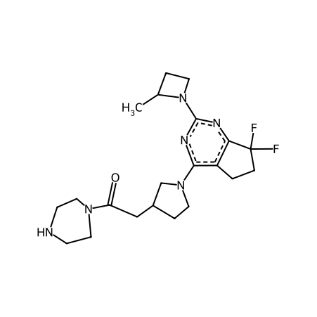 CC1CCN1c1nc(N2CCC(CC(=O)N3CCNCC3)C2)c2c(n1)C(F)(F)CC2